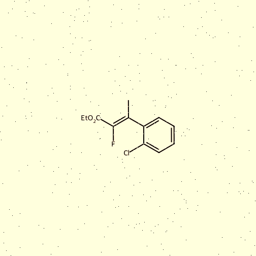 CCOC(=O)C(F)=C(C)c1ccccc1Cl